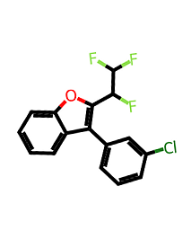 FC(F)C(F)c1oc2ccccc2c1-c1cccc(Cl)c1